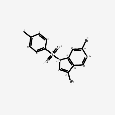 Cc1ccc(S(=O)(=O)n2cc(C(C)C)c3cnc(Br)cc32)cc1